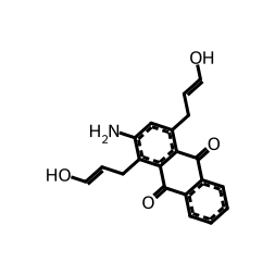 Nc1cc(CC=CO)c2c(c1CC=CO)C(=O)c1ccccc1C2=O